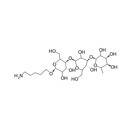 CC1O[C@@H](O[C@@H]2C(O)[C@H](O[C@@H]3C(CO)O[C@H](OCCCCCN)C(O)[C@H]3O)OC(CO)[C@H]2O)C(O)[C@@H](O)[C@H]1O